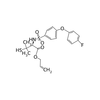 C=CCOC(=O)[C@H](NS(=O)(=O)c1ccc(Oc2ccc(F)cc2)cc1)C(C)(C)S